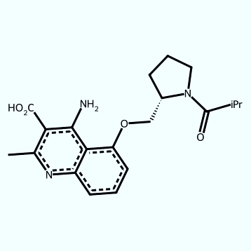 Cc1nc2cccc(OC[C@@H]3CCCN3C(=O)C(C)C)c2c(N)c1C(=O)O